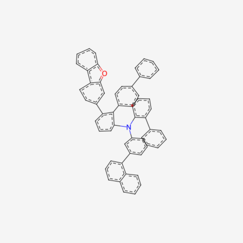 c1ccc(-c2ccc(-c3c(-c4ccc5c(c4)oc4ccccc45)cccc3N(c3cccc(-c4cccc5ccccc45)c3)c3ccccc3-c3ccccc3)cc2)cc1